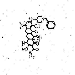 CN(C)c1cc(NC2CCN(Cc3ccccc3)CC2)c(O)c2c1CC1CC3C(N(C)C)C(O)=C(C(N)=O)C(=O)C3(O)C(O)=C1C2=O